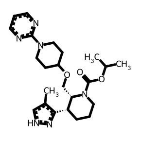 Cc1c[nH]nc1[C@H]1CCCN(C(=O)OC(C)C)[C@H]1COC1CCN(c2ncccn2)CC1